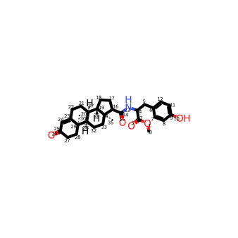 COC(=O)C(Cc1ccc(O)cc1)NC(=O)C1CC[C@H]2[C@@H]3CCC4=CC(=O)CC[C@]4(C)[C@@H]3CC[C@]12C